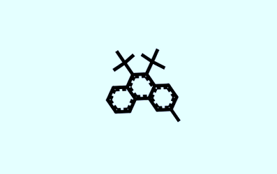 Cc1ccc2c(C(C)(C)C)c(C(C)(C)C)c3ccccc3c2c1